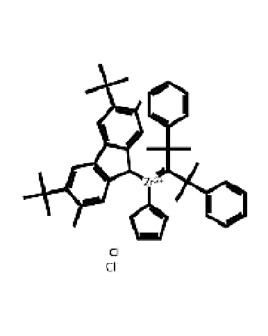 Cc1cc2c(cc1C(C)(C)C)-c1cc(C(C)(C)C)c(C)cc1[CH]2[Zr+2]([C]1=CC=CC1)=[C](C(C)(C)c1ccccc1)C(C)(C)c1ccccc1.[Cl-].[Cl-]